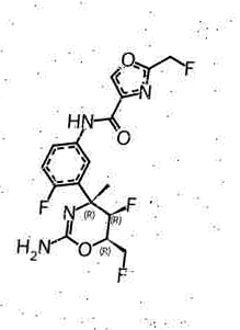 C[C@]1(c2cc(NC(=O)c3coc(CF)n3)ccc2F)N=C(N)O[C@H](CF)[C@@H]1F